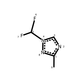 Cc1ncn(C(F)F)n1